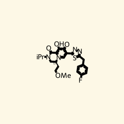 COCC[C@H]1CN(C(C)C)C(=O)c2c(O)c(=O)c(-c3nnc(Cc4ccc(F)cc4)s3)cn21